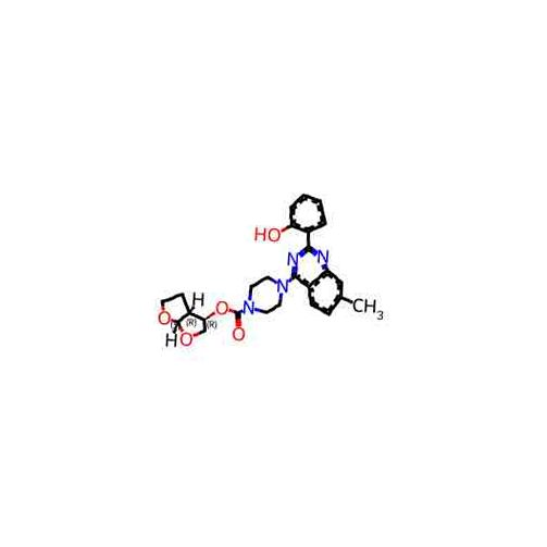 Cc1ccc2c(N3CCN(C(=O)O[C@H]4CO[C@@H]5OCC[C@@H]54)CC3)nc(-c3ccccc3O)nc2c1